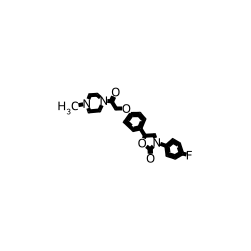 CN1CCN(C(=O)COc2ccc(C3CN(c4ccc(F)cc4)C(=O)O3)cc2)CC1